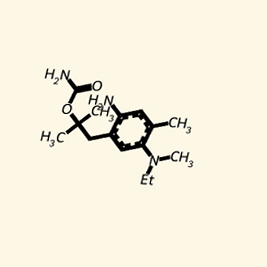 CCN(C)c1cc(CC(C)(C)OC(N)=O)c(N)cc1C